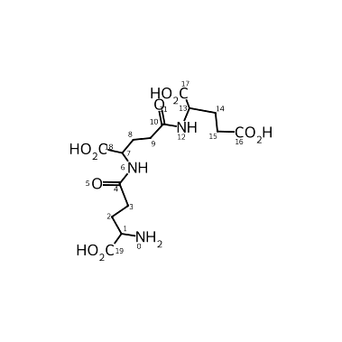 NC(CCC(=O)NC(CCC(=O)NC(CCC(=O)O)C(=O)O)C(=O)O)C(=O)O